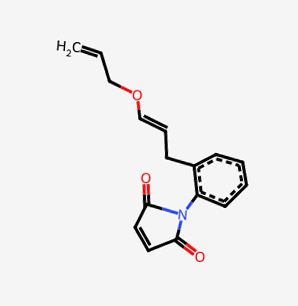 C=CCOC=CCc1ccccc1N1C(=O)C=CC1=O